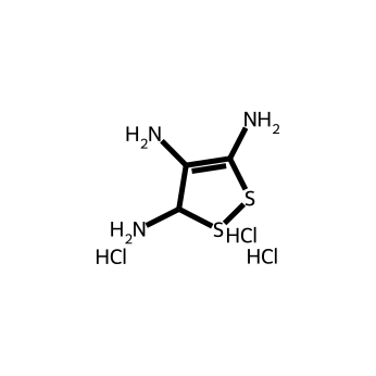 Cl.Cl.Cl.NC1=C(N)C(N)SS1